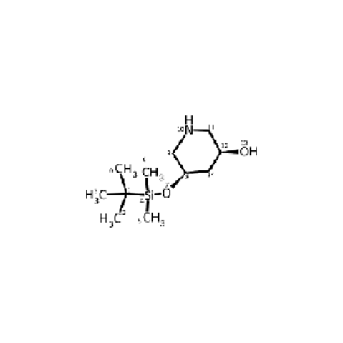 CC(C)(C)[Si](C)(C)O[C@H]1CNC[C@@H](O)C1